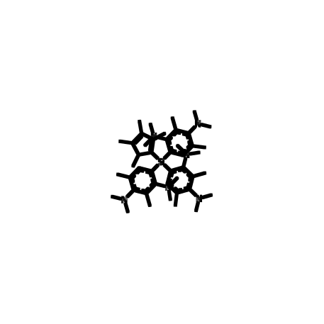 CC1=C(C)C(C)C([Si](c2cc(C)c(N(C)C)c(C)c2N(C)C)(c2cc(C)c(N(C)C)c(C)c2N(C)C)c2cc(C)c(N(C)C)c(C)c2N(C)C)=C1C